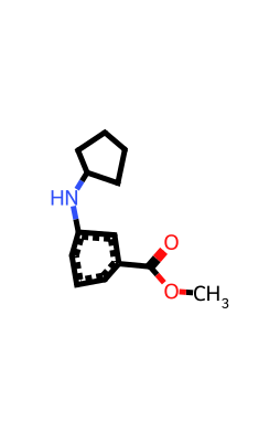 COC(=O)c1cccc(NC2CCCC2)c1